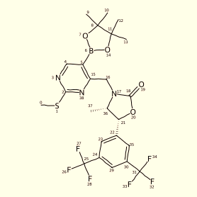 CSc1ncc(B2OC(C)(C)C(C)(C)O2)c(CN2C(=O)O[C@H](c3cc(C(F)(F)F)cc(C(F)(F)F)c3)[C@@H]2C)n1